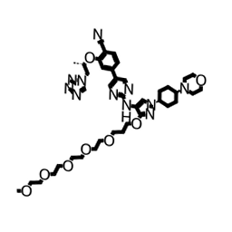 COCCOCCOCCOCCOCCCOc1nn([C@H]2CC[C@H](N3CCOCC3)CC2)cc1Nc1ncc(-c2ccc(C#N)c(O[C@@H](C)Cn3cnnn3)c2)cn1